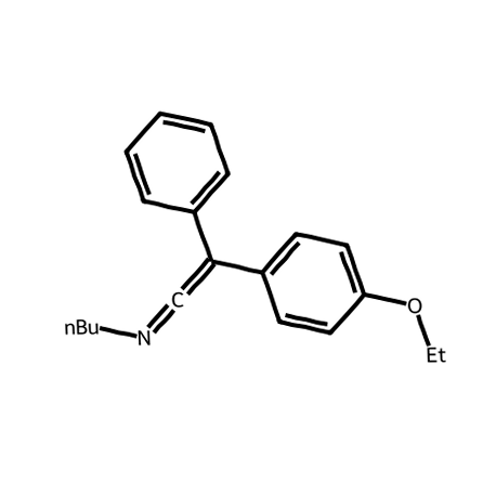 CCCCN=C=C(c1ccccc1)c1ccc(OCC)cc1